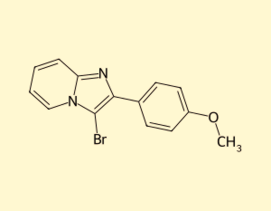 COc1ccc(-c2nc3ccccn3c2Br)cc1